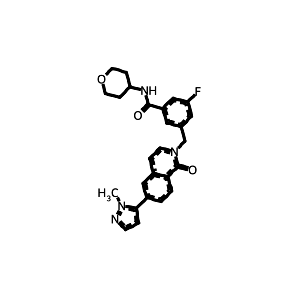 Cn1nccc1-c1ccc2c(=O)n(Cc3cc(F)cc(C(=O)NC4CCOCC4)c3)ccc2c1